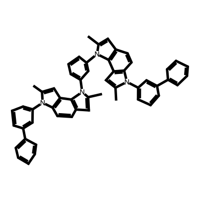 Cc1cc2c(ccc3cc(C)n(-c4cccc(-n5c(C)cc6ccc7c(cc(C)n7-c7cccc(-c8ccccc8)c7)c65)c4)c32)n1-c1cccc(-c2ccccc2)c1